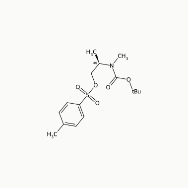 Cc1ccc(S(=O)(=O)OC[C@@H](C)N(C)C(=O)OC(C)(C)C)cc1